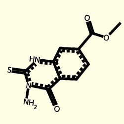 COC(=O)c1ccc2c(=O)n(N)c(=S)[nH]c2c1